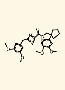 COc1cc(Cc2nc(C(=O)NCC3(c4ccc(OC)c(OC)c4)CCCC3)cs2)cc(OC)c1